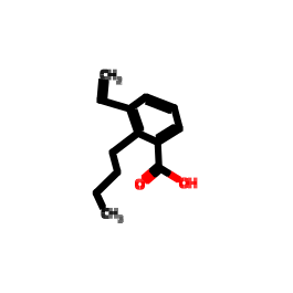 C=Cc1cccc(C(=O)O)c1CCCC